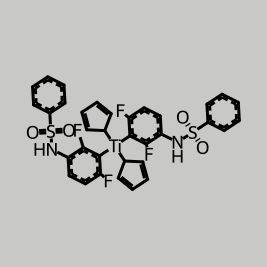 O=S(=O)(Nc1ccc(F)[c]([Ti]([c]2c(F)ccc(NS(=O)(=O)c3ccccc3)c2F)([CH]2C=CC=C2)[CH]2C=CC=C2)c1F)c1ccccc1